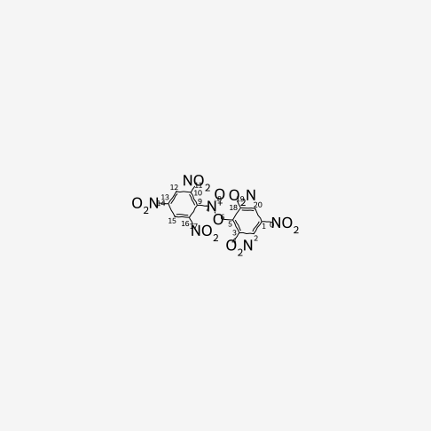 O=[N+]([O-])c1cc([N+](=O)[O-])c(O[N+](=O)c2c([N+](=O)[O-])cc([N+](=O)[O-])cc2[N+](=O)[O-])c([N+](=O)[O-])c1